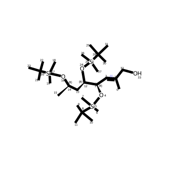 C/C(=C\[C@@H](O[Si](C)(C)C(C)(C)C)[C@@H](C[C@@H](C)O[Si](C)(C)C(C)(C)C)O[Si](C)(C)C(C)(C)C)CO